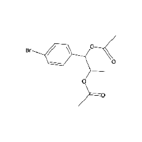 CC(=O)OC(C)C(OC(C)=O)c1ccc(Br)cc1